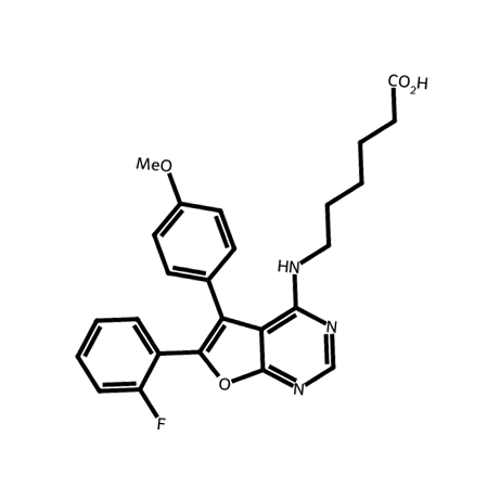 COc1ccc(-c2c(-c3ccccc3F)oc3ncnc(NCCCCCC(=O)O)c23)cc1